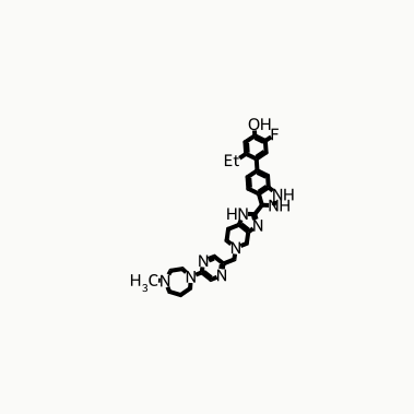 CCc1cc(O)c(F)cc1-c1ccc2c(c1)NNC2c1nc2c([nH]1)CCN(Cc1cnc(N3CCCN(C)CC3)cn1)C2